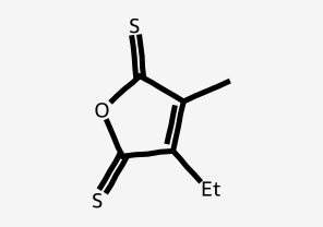 CCC1=C(C)C(=S)OC1=S